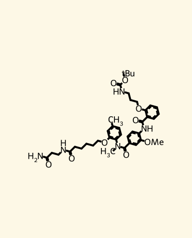 COc1cc(C(=O)N(C)c2ccc(C)cc2OCCCCCC(=O)NCCC(N)=O)ccc1NC(=O)c1ccccc1OCCCNC(=O)OC(C)(C)C